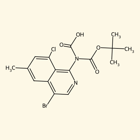 Cc1cc(Cl)c2c(N(C(=O)O)C(=O)OC(C)(C)C)ncc(Br)c2c1